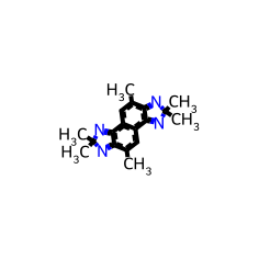 Cc1cc2c3c(c(C)cc2c2c1=NC(C)(C)N=2)=NC(C)(C)N=3